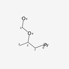 CC(C)CC(C)OC[O]